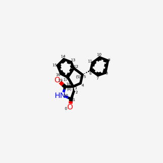 O=C1C[C@@]2(C[C@@H](c3ccccc3)c3ccccc32)C(=O)N1